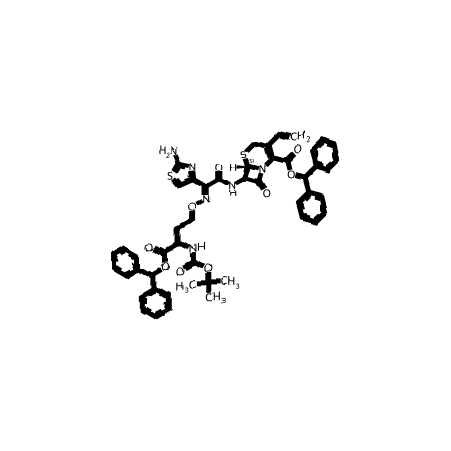 C=CC1=C(C(=O)OC(c2ccccc2)c2ccccc2)N2C(=O)C(NC(=O)C(=NOCCC(NC(=O)OC(C)(C)C)C(=O)OC(c3ccccc3)c3ccccc3)c3csc(N)n3)[C@@H]2SC1